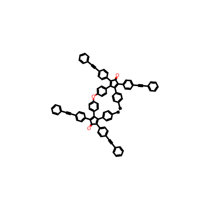 C#Cc1ccc(C2=C(c3ccc(C#Cc4ccccc4)cc3)C(=O)C(c3ccc(C#Cc4ccccc4)cc3)=C2c2ccc(Oc3ccc(C4=C(c5ccc(C#Cc6ccccc6)cc5)C(=O)C(c5ccc(C#Cc6ccccc6)cc5)=C4c4ccc(C#C)cc4)cc3)cc2)cc1